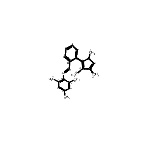 CC1=CC(C)C(c2ccccc2C=Nc2c(C)cc(C)cc2C)=C1C